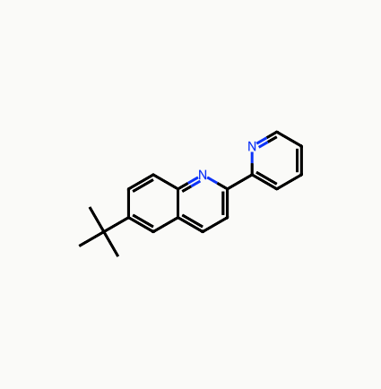 CC(C)(C)c1ccc2nc(-c3ccccn3)ccc2c1